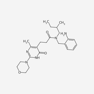 CCC(C)CN(Cc1ccccc1N)C(=O)CCc1c(C)nc(N2CCOCC2)[nH]c1=O